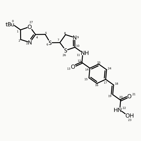 CC(C)(C)C1CN=C(CSC2CN=C(NC(=O)c3ccc(C=CC(=O)NO)cc3)S2)O1